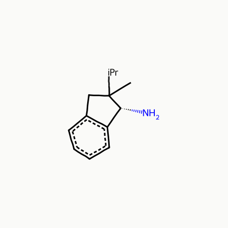 CC(C)C1(C)Cc2ccccc2[C@H]1N